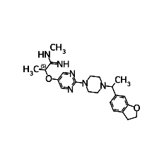 CNC(=N)[C@H](C)Oc1cnc(N2CCN(C(C)c3ccc4c(c3)OCC4)CC2)nc1